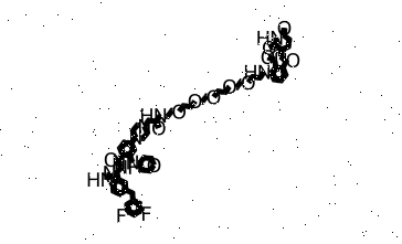 O=C(CN1CCN(c2ccc(C(=O)Nc3n[nH]c4ccc(Cc5cc(F)cc(F)c5)cc34)c(NC3CCOCC3)c2)CC1)NCCOCCOCCOCCOCCOCCNc1cccc2c1C(=O)N(C1CCC(=O)NC1=O)C2=O